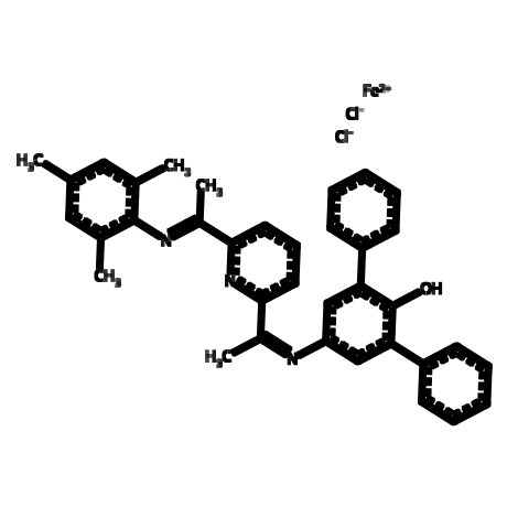 CC(=Nc1cc(-c2ccccc2)c(O)c(-c2ccccc2)c1)c1cccc(C(C)=Nc2c(C)cc(C)cc2C)n1.[Cl-].[Cl-].[Fe+2]